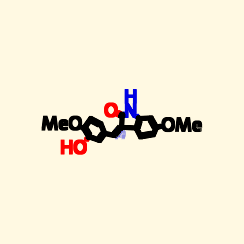 COc1ccc2c(c1)NC(=O)/C2=C\c1ccc(OC)c(O)c1